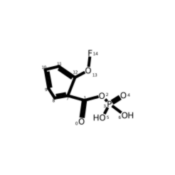 O=C(OP(=O)(O)O)c1ccccc1OF